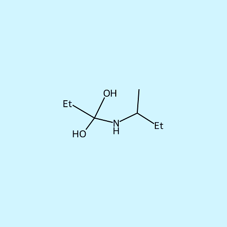 [CH2]CC(C)NC(O)(O)CC